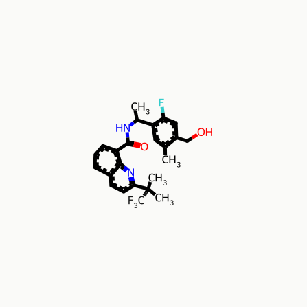 Cc1cc(C(C)NC(=O)c2cccc3ccc(C(C)(C)C(F)(F)F)nc23)c(F)cc1CO